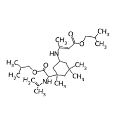 C=C(C)NC(C(=O)OCC(C)C)C1(C)CC(NC(C)=CC(=O)OCC(C)C)CC(C)(C)C1